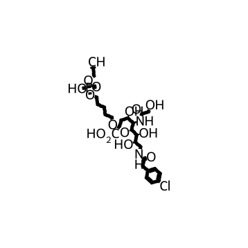 C#CCOP(=O)(O)OCCCCCO[C@]1(C(=O)O)C[C@H](O)[C@@H](NC(=O)CO)[C@H]([C@H](O)[C@H](O)CNC(=O)Cc2ccc(Cl)cc2)O1